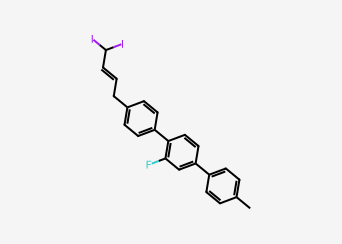 Cc1ccc(-c2ccc(-c3ccc(CC=CC(I)I)cc3)c(F)c2)cc1